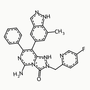 Cc1cc(-c2c(-c3ccccc3)nc(N)[n+]3c(=O)n(Cc4ccc(F)cn4)[nH]c23)cc2cn[nH]c12